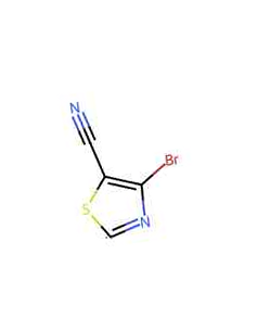 N#Cc1s[c]nc1Br